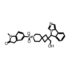 CN1C(=O)Cc2cc(S(=O)(=O)N3CCC4(CC3)CC(CO)(C3c5ccccc5-c5cncn53)C4)ccc21